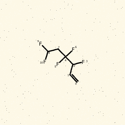 C=CC(F)C(F)(F)CC(F)F